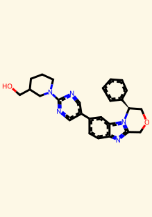 OCC1CCCN(c2ncc(-c3ccc4nc5n(c4c3)[C@@H](c3ccccc3)COC5)cn2)C1